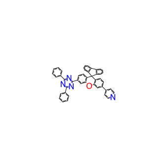 c1ccc(-c2nc(-c3ccccc3)nc(-c3ccc4c(c3)Oc3cc(-c5ccncc5)ccc3C43c4ccccc4-c4ccccc43)n2)cc1